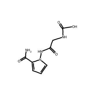 NC(=O)c1cccn1NC(=O)CNC(=O)O